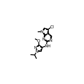 COc1nn(C(C)C)cc1Nc1ncc2c(Cl)cn(C)c2n1